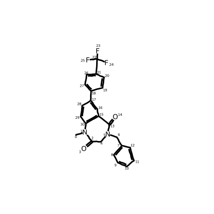 CN1C(=O)CN(Cc2ccccc2)C(=O)c2cc(-c3ccc(C(F)(F)F)cc3)ccc21